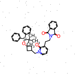 CC(C)(C)[Si](OC1CC(Cn2cccc(CCN3C(=O)c4ccccc4C3=O)c2=O)C1)(c1ccccc1)c1ccccc1